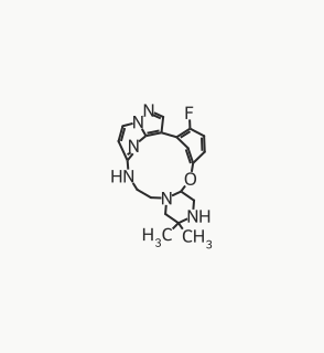 CC1(C)CN2CCNc3ccn4ncc(c4n3)-c3cc(ccc3F)OC2CN1